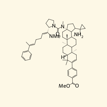 CN/C(=C\CC/C=C(\C)c1ccccc1)[C@@H]1CCCN1C(=O)N(C)[C@]12CCC(C3(C)CC3)C1[C@@]1(N)CCC3[C@@]4(C)CC=C(c5ccc(C(=O)OC)cc5)C(C)(C)[C@@H]4CC[C@@]3(C)[C@]1(C)CC2